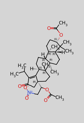 CC(=O)OC(C[N+](=O)[O-])[C@@]12CC[C@]3(C)[C@H](CC[C@@H]4[C@@]5(C)CC[C@H](OC(C)=O)C(C)(C)[C@@H]5CC[C@]43C)C1=C(C(C)C)C(=O)C2